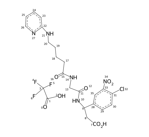 O=C(O)C(F)(F)F.O=C(O)CC(NC(=O)CNC(=O)CCCCNc1ccccn1)c1ccc(Cl)c([N+](=O)[O-])c1